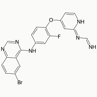 N=C/N=c1/cc(Oc2ccc(Nc3ncnc4ccc(Br)cc34)cc2F)cc[nH]1